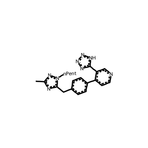 CCCCCn1nc(C)nc1Cc1ccc(-c2ccncc2-c2nnn[nH]2)cc1